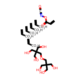 C=CC(=O)O.C=CC(=O)O.C=CC(=O)O.C=CC(=O)O.C=CC(=O)O.C=CC(=O)ON=C=O.OCC(CO)(CO)COCC(CO)(CO)CO